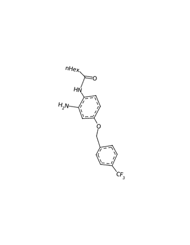 CCCCCCC(=O)Nc1ccc(OCc2ccc(C(F)(F)F)cc2)cc1N